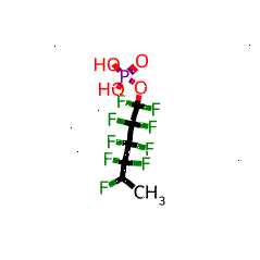 CC(F)C(F)(F)C(F)(F)C(F)(F)C(F)(F)OP(=O)(O)O